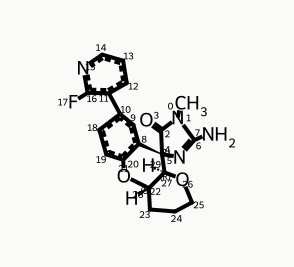 CN1C(=O)[C@@]2(N=C1N)c1cc(-c3cccnc3F)ccc1O[C@H]1CCCO[C@@H]12